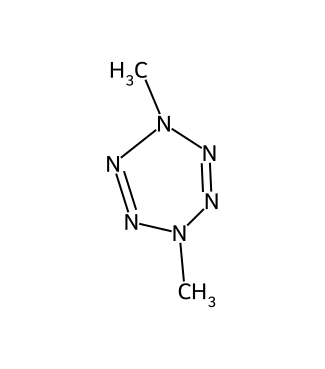 CN1N=NN(C)N=N1